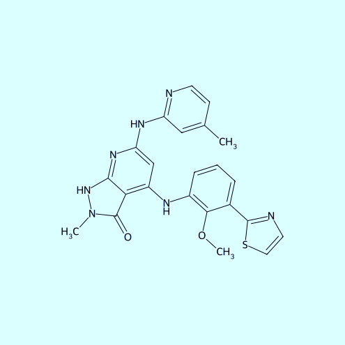 COc1c(Nc2cc(Nc3cc(C)ccn3)nc3[nH]n(C)c(=O)c23)cccc1-c1nccs1